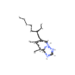 CCCCCC(CC)c1cn2ncnc2c(C)c1C